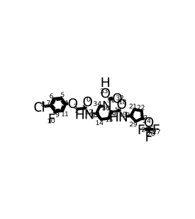 O=C(COc1ccc(Cl)c(F)c1)N[C@H]1CC[C@H](C(=O)NC2CCC(OC(F)(F)F)C2)N(C(=O)O)C1